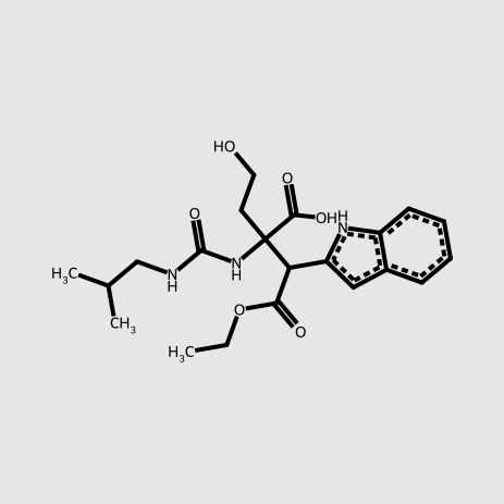 CCOC(=O)C(c1cc2ccccc2[nH]1)C(CCO)(NC(=O)NCC(C)C)C(=O)O